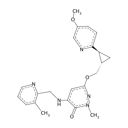 COc1ccc([C@H]2C[C@@H]2COc2cc(NCc3ncccc3C)c(=O)n(C)n2)nc1